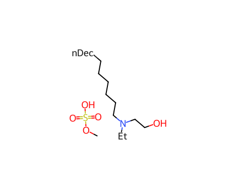 CCCCCCCCCCCCCCCCN(CC)CCO.COS(=O)(=O)O